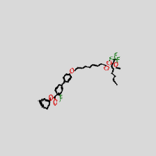 CCCCCCC(OCC)(OC(=O)CCCCCCCCOc1ccc(-c2ccc(C(=O)Oc3ccccc3)c(F)c2)cc1)C(F)(F)F